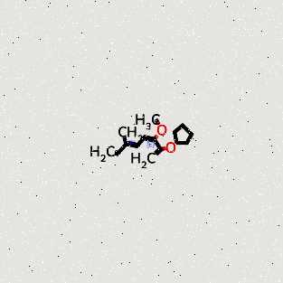 C=C/C(C)=C/C=C(/OC)C(=C)OC1CCCC1